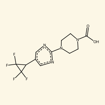 O=C(O)N1CCN(c2ncc(C3C(F)(F)C3(F)F)cn2)CC1